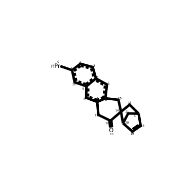 CCCc1ccc2cc3c(cc2c1)CC(=O)C1(C3)CC2C=CC1C2